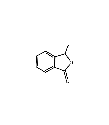 O=C1OC(I)c2ccccc21